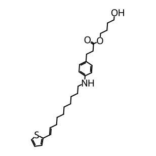 O=C(CCc1ccc(NCCCCCCCCC=Cc2cccs2)cc1)OCCCCO